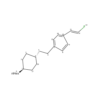 CCCCCC[C@H]1CC[C@H](CCc2ccc(C=CF)cc2)CC1